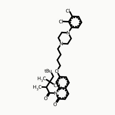 CC(C(=O)n1c(=O)ccc2ccc(OCCCCN3CCN(c4cccc(Cl)c4Cl)CC3)cc21)C(C)(C)CC(C)(C)C